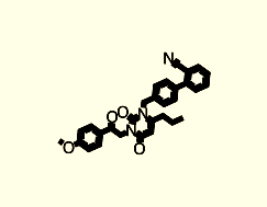 CCCc1cc(=O)n(CC(=O)c2ccc(OC)cc2)c(=O)n1Cc1ccc(-c2ccccc2C#N)cc1